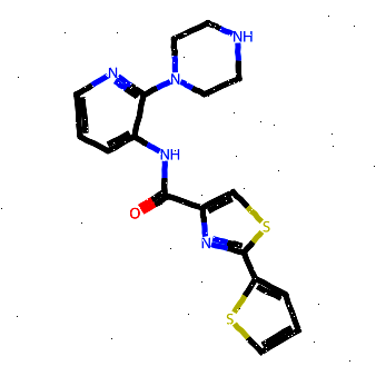 O=C(Nc1cccnc1N1CCNCC1)c1csc(-c2cccs2)n1